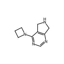 c1nc2c(c(N3CCC3)n1)CNC2